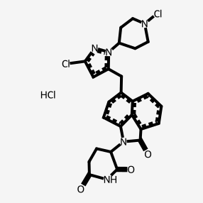 Cl.O=C1CCC(N2C(=O)c3cccc4c(Cc5cc(Cl)nn5C5CCN(Cl)CC5)ccc2c34)C(=O)N1